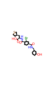 O=C(O)C(=Cc1ccsc1)NC(=O)c1ccc(C(=O)NCc2cccc(O)c2)cc1Br